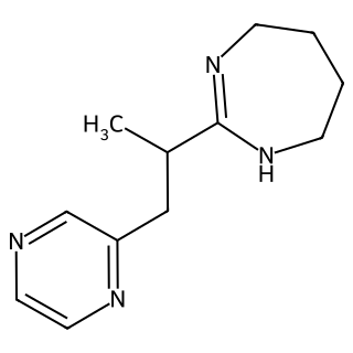 CC(Cc1cnccn1)C1=NCCCCN1